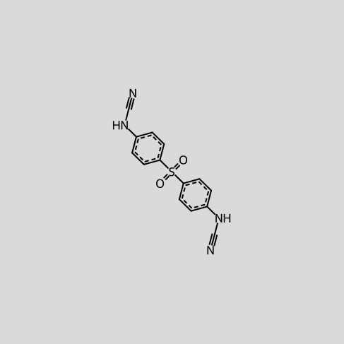 N#CNc1ccc(S(=O)(=O)c2ccc(NC#N)cc2)cc1